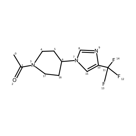 CC(=O)N1CCC(n2cnc(C(F)(F)F)c2)CC1